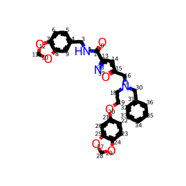 O=C(NCc1ccc2c(c1)OCO2)c1cc(CN(CCOc2ccc3c(c2)OCO3)Cc2ccccc2)on1